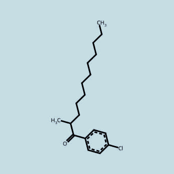 CCCCCCCCCCC(C)C(=O)c1ccc(Cl)cc1